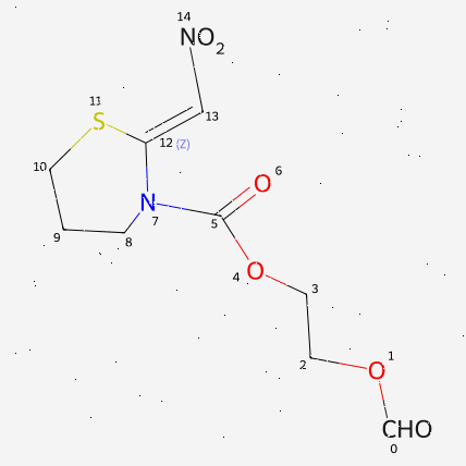 O=COCCOC(=O)N1CCCS/C1=C\[N+](=O)[O-]